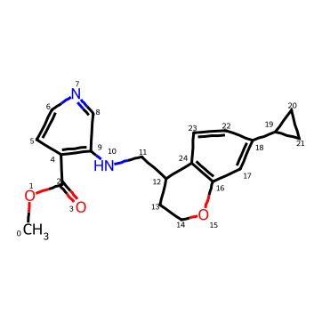 COC(=O)c1ccncc1NCC1CCOc2cc(C3CC3)ccc21